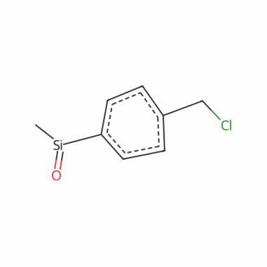 C[Si](=O)c1ccc(CCl)cc1